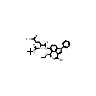 CCOC(=O)c1c(NC(=O)C(CCC(N)=O)NC(=O)OC(C)(C)C)ccc2c1c(C(=O)O)cn2-c1ccccc1